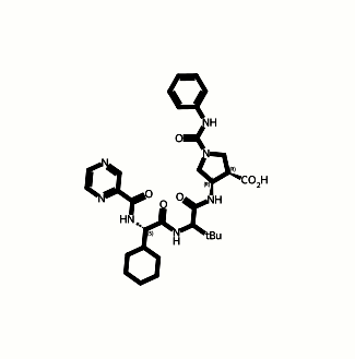 CC(C)(C)C(NC(=O)[C@@H](NC(=O)c1cnccn1)C1CCCCC1)C(=O)N[C@H]1CN(C(=O)Nc2ccccc2)C[C@H]1C(=O)O